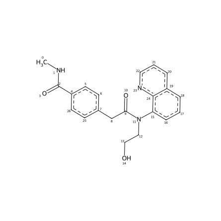 CNC(=O)c1ccc(CC(=O)N(CCO)c2cccc3cccnc23)cc1